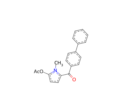 CC(=O)Oc1ccc(C(=O)c2ccc(-c3ccccc3)cc2)n1C